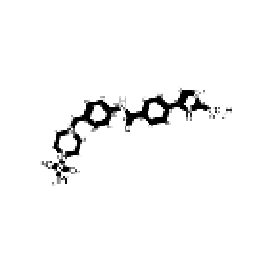 CCCS(=O)(=O)N1CCN(Cc2ccc(NC(=O)c3ccc(-c4csc(C(=O)O)n4)cc3)cc2)CC1